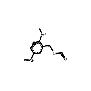 CNc1ccc(NC)c(COC=O)c1